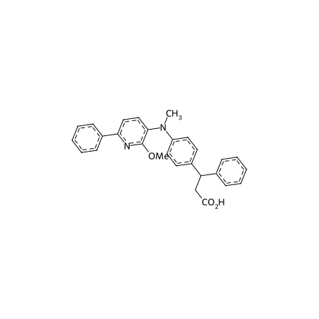 COc1nc(-c2ccccc2)ccc1N(C)c1ccc(C(CC(=O)O)c2ccccc2)cc1